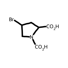 O=C(O)C1CC(Br)CN1C(=O)O